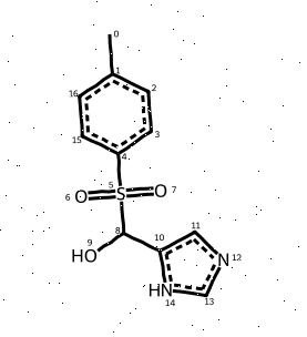 Cc1ccc(S(=O)(=O)C(O)c2cnc[nH]2)cc1